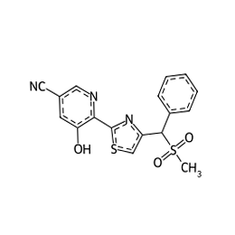 CS(=O)(=O)C(c1ccccc1)c1csc(-c2ncc(C#N)cc2O)n1